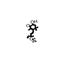 C=CC(C)(C=CC1=C(C)C(=O)C(O)CC1(C)C)O[Si](C)(C)C